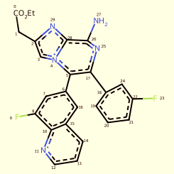 CCOC(=O)Cc1cn2c(-c3cc(F)c4ncccc4c3)c(-c3cccc(F)c3)nc(N)c2n1